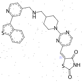 O=C1NC(=O)/C(=C\c2ccnc(N3CCC(CNCc4ccnc(-c5csc6ccccc56)c4)CC3)n2)S1